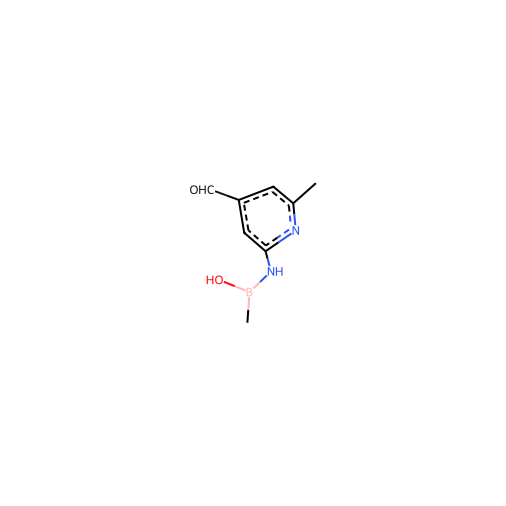 CB(O)Nc1cc(C=O)cc(C)n1